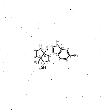 Fc1ccc2c([C@@H]3CN(S)[C@@H]4CCN[C@@H]43)c[nH]c2c1